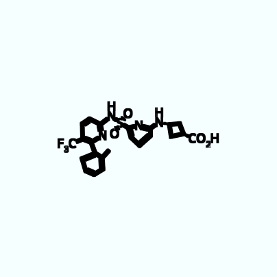 Cc1ccccc1-c1nc(NS(=O)(=O)c2cccc(N[C@H]3C[C@H](C(=O)O)C3)n2)ccc1C(F)(F)F